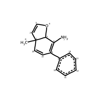 CC12C=COC1C(N)=C(c1ccccc1)C=C2